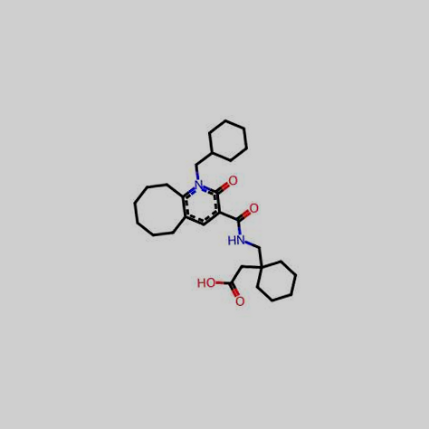 O=C(O)CC1(CNC(=O)c2cc3c(n(CC4CCCCC4)c2=O)CCCCCC3)CCCCC1